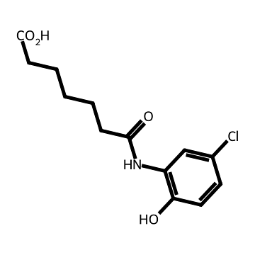 O=C(O)CCCCCC(=O)Nc1cc(Cl)ccc1O